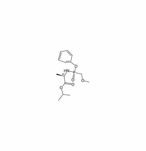 COCP(=O)(N[C@H](C)C(=O)OC(C)C)Oc1ccccc1